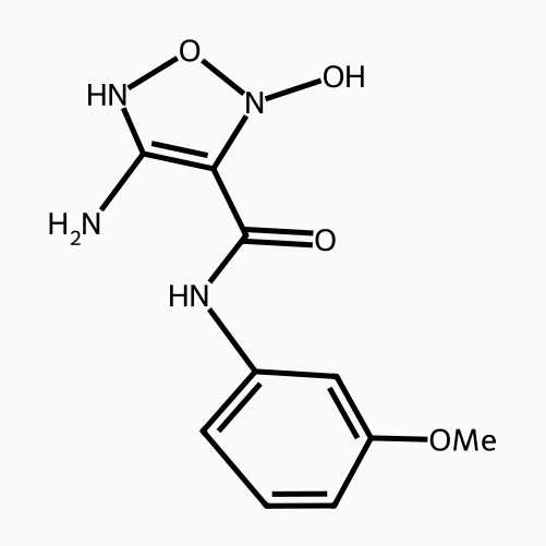 COc1cccc(NC(=O)C2=C(N)NON2O)c1